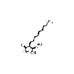 CCCCCCCCCC(C(=O)O)C(=O)O.Cl